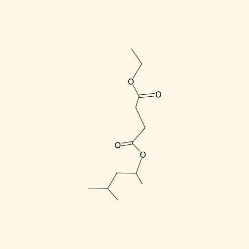 CCOC(=O)CCC(=O)OC(C)CC(C)C